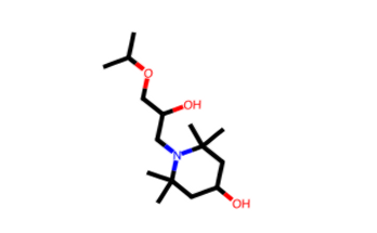 CC(C)OCC(O)CN1C(C)(C)CC(O)CC1(C)C